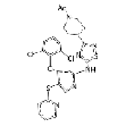 CC(=O)N1CCC(c2nsc(Nc3cc(Oc4c(Cl)cccc4Cl)c(Sc4ccccn4)cn3)n2)CC1